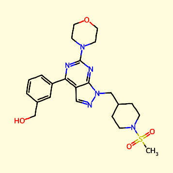 CS(=O)(=O)N1CCC(Cn2ncc3c(-c4cccc(CO)c4)nc(N4CCOCC4)nc32)CC1